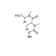 CC(C)CC(C(=O)N(C)C(C(=O)O)C(C)C)N(C)C(=O)OC(C)(C)C